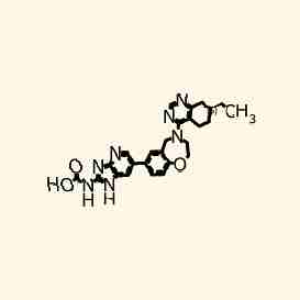 CC[C@H]1CCc2c(ncnc2N2CCOc3ccc(-c4cnc5nc(NC(=O)O)[nH]c5c4)cc3C2)C1